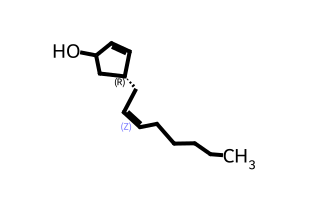 CCCCC/C=C\C[C@H]1C=CC(O)C1